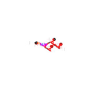 CCC1CC(CCCC2CC(CC(O)CCCC3CC(CCCC(O)CC4C[C@H](C)OC(c5ccccc5O)O4)OC(c4ccccc4O)O3)OC(CNC(O)NS(=O)(=O)c3ccc(C)cc3)O2)OC(c2ccccc2O)O1